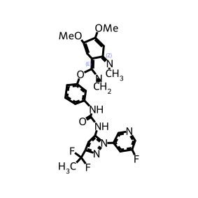 C=N/C(Oc1cccc(NC(=O)Nc2cc(C(C)(F)F)nn2-c2cncc(F)c2)c1)=C1/C=C(OC)C(OC)=C/C1=N/C